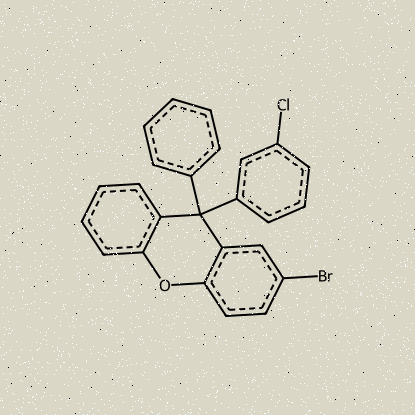 Clc1cccc(C2(c3ccccc3)c3ccccc3Oc3ccc(Br)cc32)c1